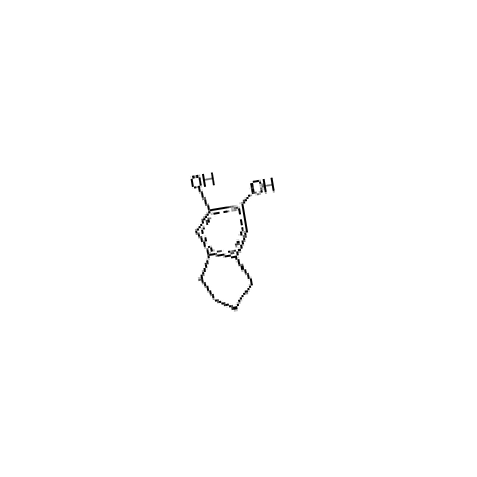 Oc1cc2c(cc1O)CCCC2